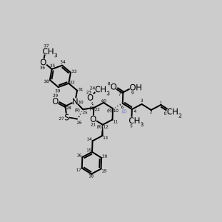 C=CCC/C(C)=C(\C(=O)O)[C@@H]1C[C@@H](CCc2ccccc2)O[C@@](OC)([C@@H]2CSC(=O)N2Cc2ccc(OC)cc2)C1